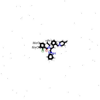 COc1ccc(C(=O)N(CCC(C)C)C(Cc2ccccc2CN2CCC(C)CC2)c2nc3ccccc3[nH]2)c(Cl)c1OC